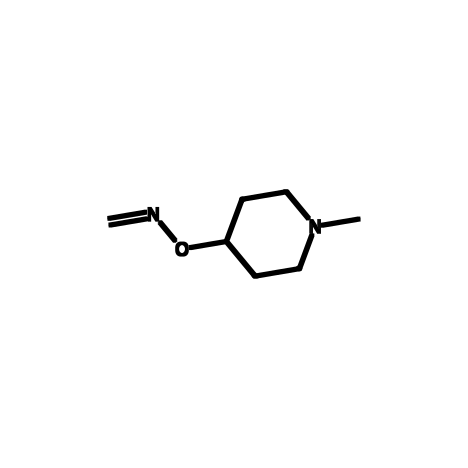 C=NOC1CCN(C)CC1